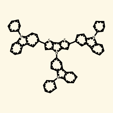 c1ccc(-n2c3ccccc3c3cc(-c4cc5c(s4)c4sc(-c6ccc7c(c6)c6ccccc6n7-c6ccccc6)cc4n5-c4ccc5c(c4)c4ccccc4n5-c4ccccc4)ccc32)cc1